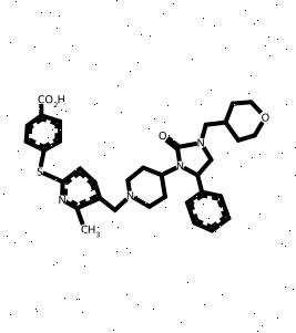 Cc1nc(Sc2ccc(C(=O)O)cc2)ccc1CN1CCC(N2C(=O)N(CC3CCOCC3)CC2c2ccccc2)CC1